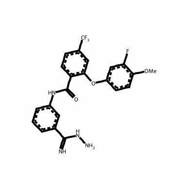 COc1ccc(Oc2cc(C(F)(F)F)ccc2C(=O)Nc2cccc(C(=N)NN)c2)cc1F